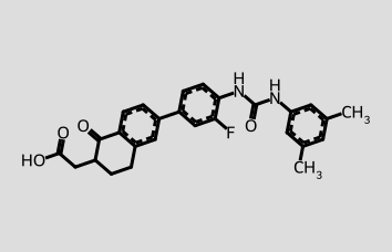 Cc1cc(C)cc(NC(=O)Nc2ccc(-c3ccc4c(c3)CCC(CC(=O)O)C4=O)cc2F)c1